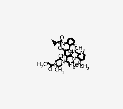 C=CC(=O)N1C[C@H](C)N(c2nc(=O)n(-c3c(N(C)C)ccnc3C(C)C)c3nc(-c4c(F)cccc4NC(=O)C4CC4)c(Cl)cc23)C[C@H]1C